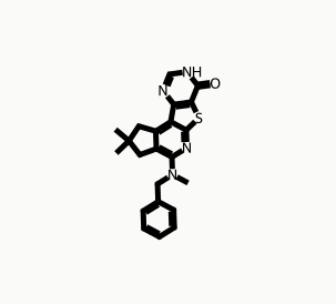 CN(Cc1ccccc1)c1nc2sc3c(=O)[nH]cnc3c2c2c1CC(C)(C)C2